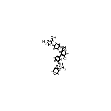 C[C@H](CO)N[C@H]1CC[C@H](Nc2cc(-c3cccc(NCC4(N)CCOCC4)n3)c(Cl)cn2)CC1